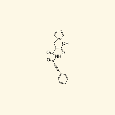 O=C(C#Cc1ccccc1)NC(=O)C(Cc1ccccc1)C(=O)O